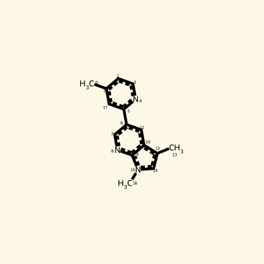 Cc1ccnc(-c2cnc3c(c2)c(C)cn3C)c1